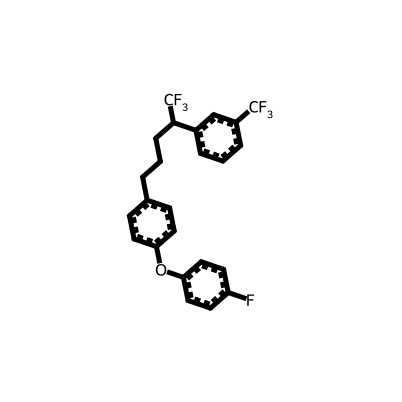 Fc1ccc(Oc2ccc(CCCC(c3cccc(C(F)(F)F)c3)C(F)(F)F)cc2)cc1